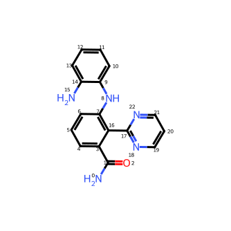 NC(=O)c1cccc(Nc2ccccc2N)c1-c1ncccn1